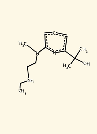 CCNCCN(C)c1cccc(C(C)(C)O)n1